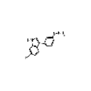 NSc1cccc(-c2c[nH]c3cc(F)ccc23)c1